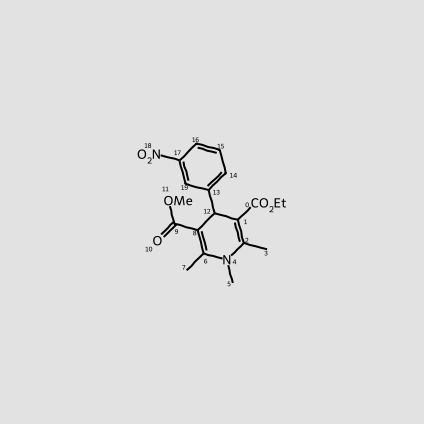 CCOC(=O)C1=C(C)N(C)C(C)=C(C(=O)OC)C1c1cccc([N+](=O)[O-])c1